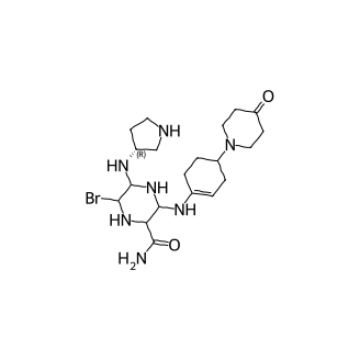 NC(=O)C1NC(Br)C(N[C@@H]2CCNC2)NC1NC1=CCC(N2CCC(=O)CC2)CC1